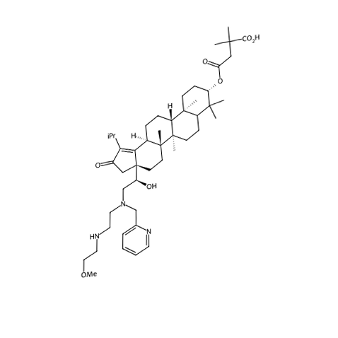 COCCNCCN(Cc1ccccn1)C[C@H](O)[C@@]12CC[C@]3(C)[C@H](CC[C@@H]4[C@@]5(C)CC[C@H](OC(=O)CC(C)(C)C(=O)O)C(C)(C)C5CC[C@]43C)C1=C(C(C)C)C(=O)C2